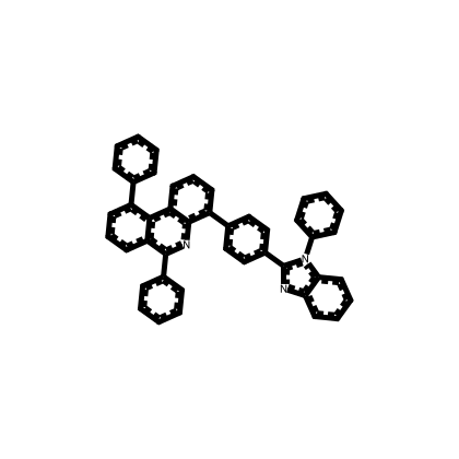 c1ccc(-c2nc3c(-c4ccc(-c5nc6ccccc6n5-c5ccccc5)cc4)cccc3c3c(-c4ccccc4)cccc23)cc1